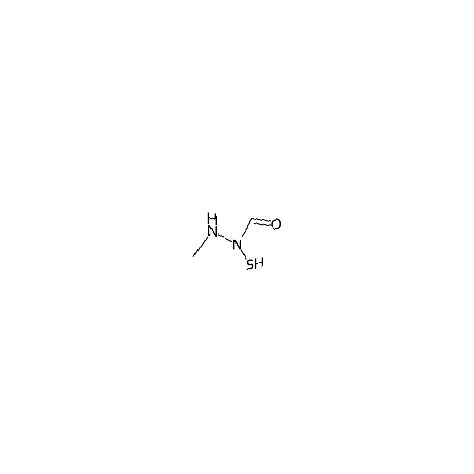 CNN(S)C=O